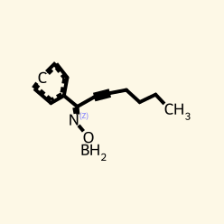 BO/N=C(\C#CCCCC)c1ccccc1